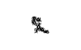 C=CC(=O)Nc1cc(CCc2cc(N3OCC[C@@H]3c3ccc(C)nc3)ncn2)c(OC)cc1N1CCC(N2CC3OCC32)CC1